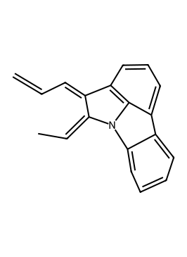 C=C/C=c1\c(=C/C)n2c3ccccc3c3cccc1c32